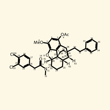 COc1cc(OC(C)=O)c2c3c1O[C@H]1[C@@H](N(C)C(=O)Cc4ccc(Cl)c(Cl)c4)CC[C@H]4[C@@H](C2)N(CCc2ccccc2)CC[C@@]341